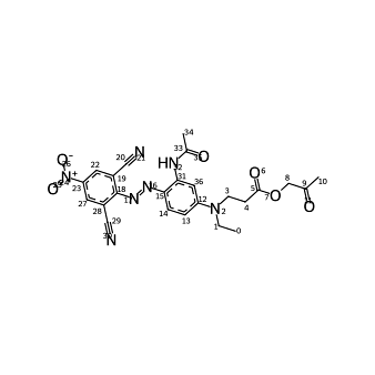 CCN(CCC(=O)OCC(C)=O)c1ccc(N=Nc2c(C#N)cc([N+](=O)[O-])cc2C#N)c(NC(C)=O)c1